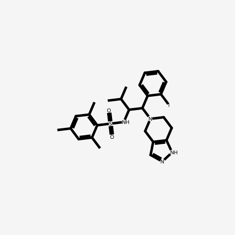 Cc1cc(C)c(S(=O)(=O)NC(C(C)C)C(c2ccccc2I)N2CCc3[nH]ncc3C2)c(C)c1